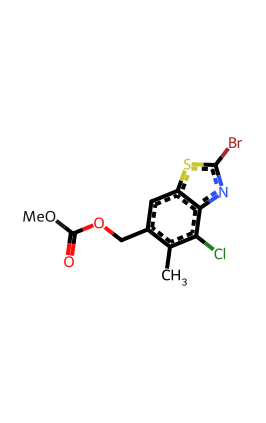 COC(=O)OCc1cc2sc(Br)nc2c(Cl)c1C